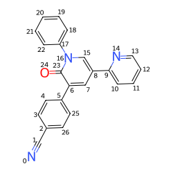 N#Cc1ccc(-c2cc(-c3ccccn3)cn(-c3ccccc3)c2=O)cc1